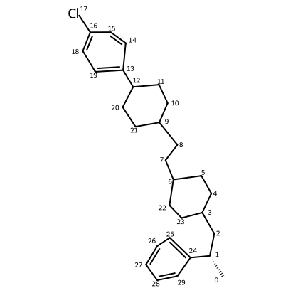 C[C@@H](CC1CCC(CCC2CCC(c3ccc(Cl)cc3)CC2)CC1)c1ccccc1